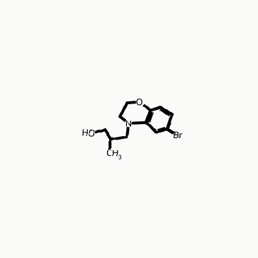 CC(CO)CN1CCOc2ccc(Br)cc21